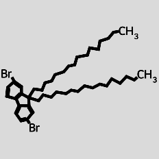 CCCCCCCCCCCCCCCCC1(CCCCCCCCCCCCCCCC)c2cc(Br)ccc2-c2ccc(Br)cc21